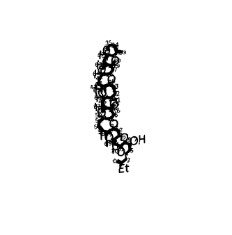 C=C(CC)C[C@@H]1C[C@H](O)[C@]2(C)OC3CC4OC5C[C@]6(C)O[C@]7(C)CCC8OC9C[C@]%10(C)OC%11C(C)=CCO[C@H]%11C[C@H]%10O[C@H]9C[C@@H](C)[C@H]8O[C@H]7C[C@H]6O[C@@]5(C)C/C=C\[C@H]4O[C@H]3C[C@H]2O1